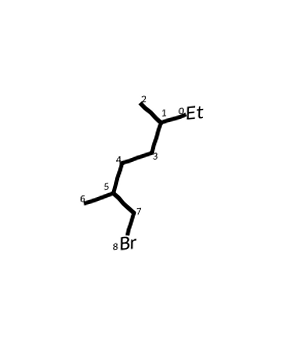 CCC(C)CCC(C)CBr